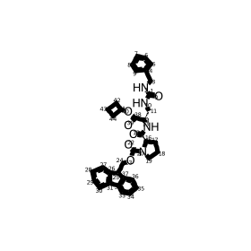 O=C(NCc1ccccc1)NC[C@H](NC(=O)[C@@H]1CCCN1C(=O)OCC1c2ccccc2-c2ccccc21)C(=O)OC1CCC1